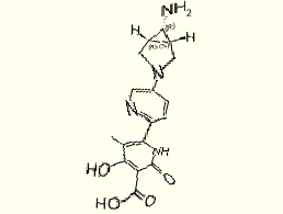 Cc1c(-c2ccc(N3C[C@@H]4[C@H](N)[C@@H]4C3)cn2)[nH]c(=O)c(C(=O)O)c1O